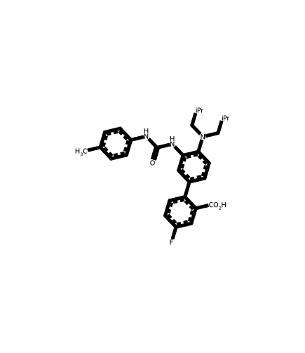 Cc1ccc(NC(=O)Nc2cc(-c3ccc(F)cc3C(=O)O)ccc2N(CC(C)C)CC(C)C)cc1